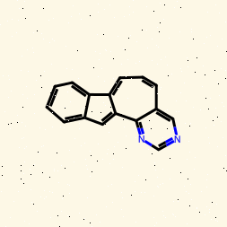 c1ccc2c3cccc4cncnc4c-3cc2c1